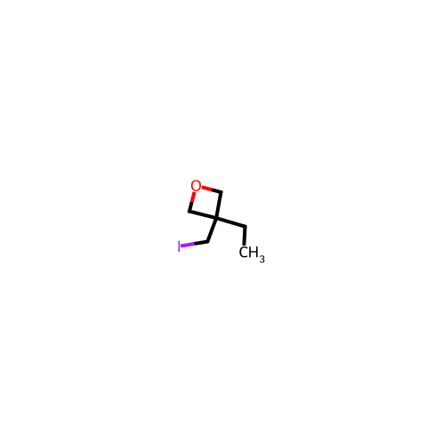 CCC1(CI)COC1